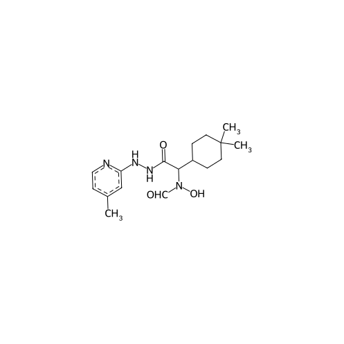 Cc1ccnc(NNC(=O)C(C2CCC(C)(C)CC2)N(O)C=O)c1